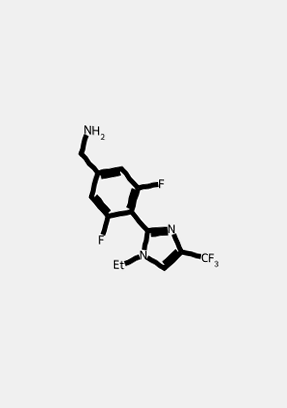 CCn1cc(C(F)(F)F)nc1-c1c(F)cc(CN)cc1F